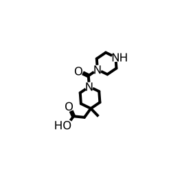 CC1(CC(=O)O)CCN(C(=O)N2CCNCC2)CC1